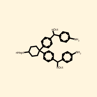 CCCCCCCCC(c1ccc(N)cc1)c1ccc(C2(c3ccc(C(CCCCCCCC)c4ccc(N)cc4)cc3)CCC(CCCCCCC)CC2)cc1